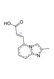 Cc1cn2c(/C=C/C(=O)O)cccc2n1